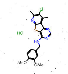 COc1ccc(CNc2ncnc3c2sc2nc(C)c(Cl)c(C)c23)cc1OC.Cl